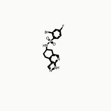 O=S(=O)(NC1CCc2c(cnc3[nH]ncc23)C1)c1ccc(F)cc1Br